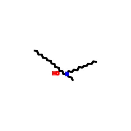 CCCCCCCCCCCCC(O)CCN(CCC)CCCCCCCCCCCC